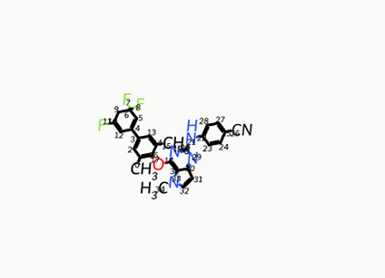 Cc1cc(C2=CC(F)(F)CC(F)=C2)cc(C)c1Oc1nc(Nc2ccc(C#N)cc2)nc2ccn(C)c12